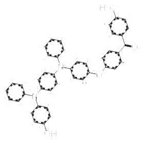 Cc1ccc(C(=O)c2ccc(Oc3ccc(N(c4ccccc4)c4ccc(N(c5ccccc5)c5ccc(O)cc5)cc4)cc3)cc2)cc1